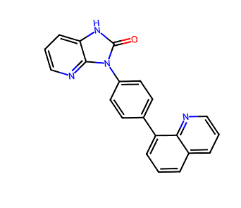 O=c1[nH]c2cccnc2n1-c1ccc(-c2cccc3cccnc23)cc1